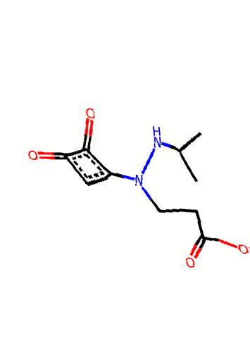 CC(C)NN(CCC(=O)O)c1cc(=O)c1=O